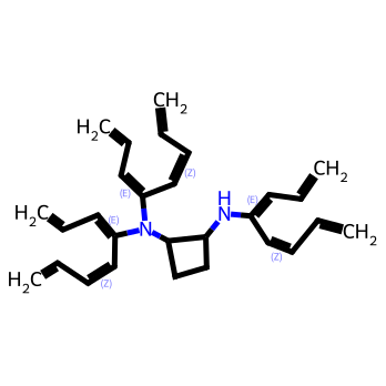 C=C/C=C\C(=C/C=C)NC1CCC1N(C(/C=C\C=C)=C/C=C)C(/C=C\C=C)=C/C=C